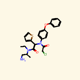 CCN(C(=O)C(c1cccs1)N(C(=O)CCl)c1ccc(Oc2ccccc2)cc1)C(C)CN